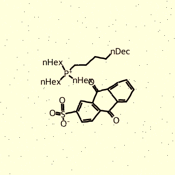 CCCCCCCCCCCCCC[P+](CCCCCC)(CCCCCC)CCCCCC.O=C1c2ccccc2C(=O)c2cc(S(=O)(=O)[O-])ccc21